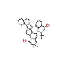 CC1(C)C=C(Br)c2c(c3c(c4c5c(ccc24)=c2c(ccc4ccccc24)=C5)-c2c(cc(Br)c4ccccc24)C3(C)C)=C1